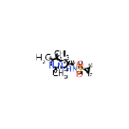 CC1=N[C@@H](C)C(C)=C2C[C@@H](CNS(=O)(=O)C3CC3)CN12